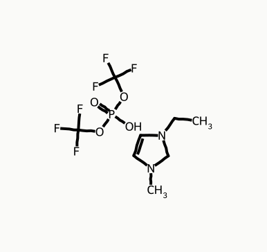 CCN1C=CN(C)C1.O=P(O)(OC(F)(F)F)OC(F)(F)F